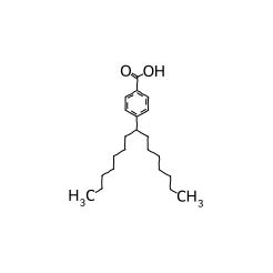 CCCCCCCC(CCCCCCC)c1ccc(C(=O)O)cc1